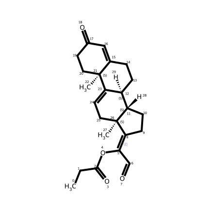 CCC(=O)O/C(C=O)=C1/CC[C@H]2[C@@H]3CCC4=CC(=O)CC[C@]4(C)C3=CC[C@]12C